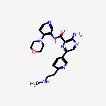 BNCCc1ccc(-c2cnc(N)c(C(=O)Nc3cnccc3N3CCOCC3)n2)cn1